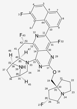 Cc1c(F)ccc2cccc(-c3nc4c5c(nc(OC[C@@]67CCCN6C[C@H](F)C7)nc5c3F)N3C[C@H]5CC[C@H](N5)[C@H]3C[C@@H]4F)c12